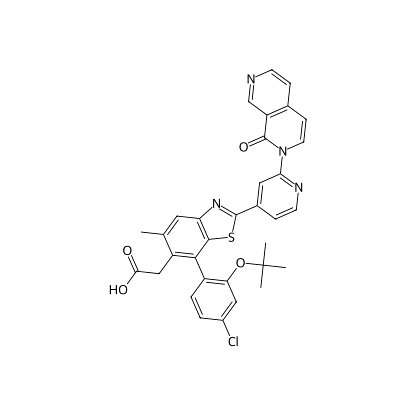 Cc1cc2nc(-c3ccnc(-n4ccc5ccncc5c4=O)c3)sc2c(-c2ccc(Cl)cc2OC(C)(C)C)c1CC(=O)O